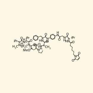 CC[C@H](C)[C@@H]([C@@H](CC(=O)N1CCC[C@H]1[C@H](O)[C@@H](C)C(=O)N[C@@H](Cc1ccccc1)C(=O)Nc1ccc(NC(=O)CNC(=O)[C@@H](NC(=O)CCCCCN2C(=O)C=CC2=O)C(C)C)cc1)OC)N(C)C(=O)[C@@H](NC(=O)[C@H](C(C)C)N(C)C)C(C)C